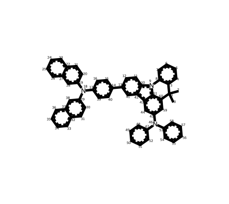 CC1(C)c2ccccc2-n2c3ccc(-c4ccc(N(c5ccc6ccccc6c5)c5ccc6ccccc6c5)cc4)cc3c3cc(N(c4ccccc4)c4ccccc4)cc1c32